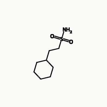 NS(=O)(=O)CCC1CCCCC1